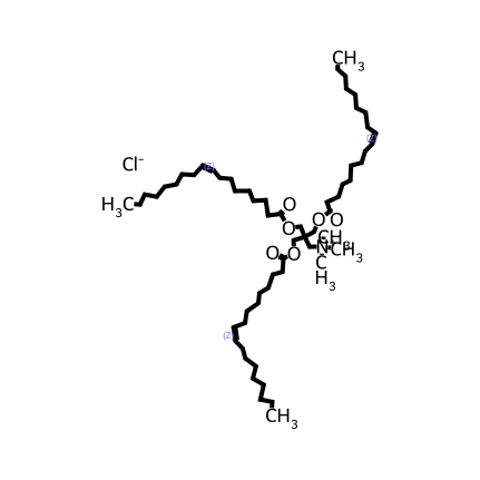 CCCCCCCC/C=C\CCCCCCCC(=O)OCC(COC(=O)CCCCCCC/C=C\CCCCCCCC)(COC(=O)CCCCCCC/C=C\CCCCCCCC)C[N+](C)(C)C.[Cl-]